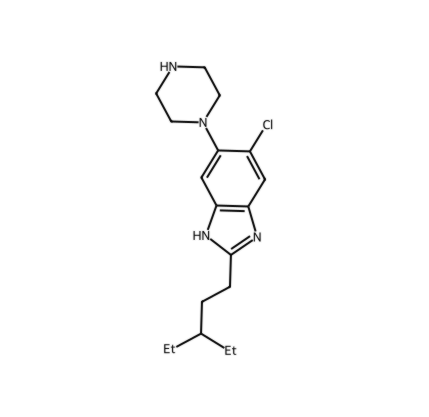 CCC(CC)CCc1nc2cc(Cl)c(N3CCNCC3)cc2[nH]1